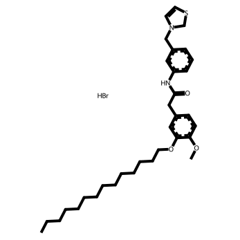 Br.CCCCCCCCCCCCCCOc1cc(CC(=O)Nc2cccc(CN3C=CSC3)c2)ccc1OC